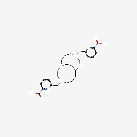 O=C(O)c1cccc(CN2CCCC3CCN(CCCN(Cc4cccc(C(=O)O)n4)CN3)CC2)n1